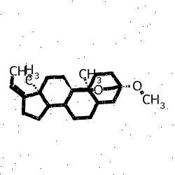 C/C=C1/CCC2C3CCC4C[C@]5(OC)CC[C@]4(C)[C@]3(CC[C@]12C)O5